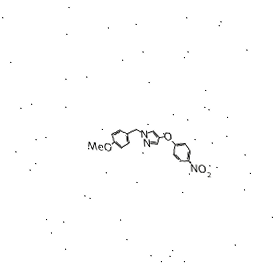 COc1ccc(Cn2cc(Oc3ccc([N+](=O)[O-])cc3)cn2)cc1